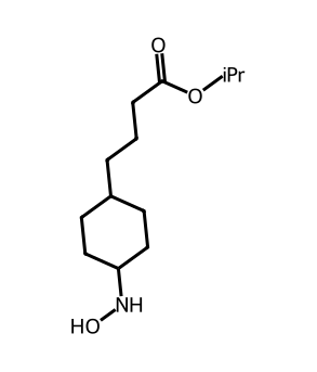 CC(C)OC(=O)CCCC1CCC(NO)CC1